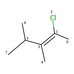 C/C(Cl)=C(\C)C(C)C